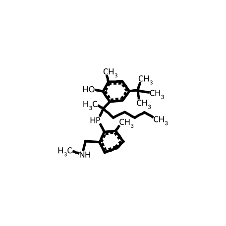 CCCCCC(C)(Pc1c(C)cccc1CNC)c1cc(C(C)(C)C)cc(C)c1O